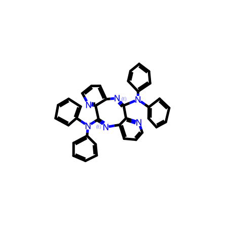 c1ccc(N(/C2=N/c3cccnc3/C(N(c3ccccc3)c3ccccc3)=N\c3cccnc32)c2ccccc2)cc1